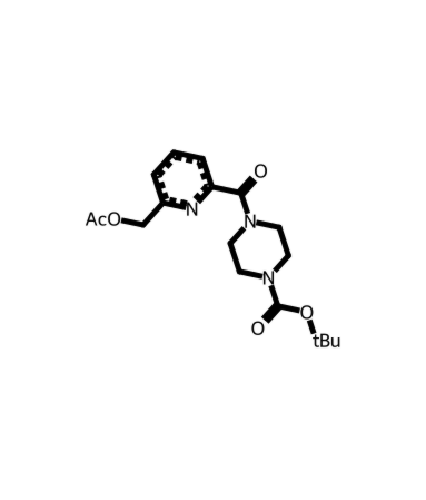 CC(=O)OCc1cccc(C(=O)N2CCN(C(=O)OC(C)(C)C)CC2)n1